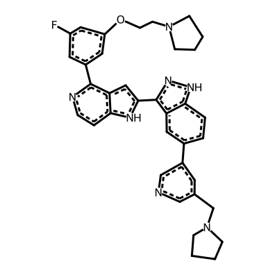 Fc1cc(OCCN2CCCC2)cc(-c2nccc3[nH]c(-c4n[nH]c5ccc(-c6cncc(CN7CCCC7)c6)cc45)cc23)c1